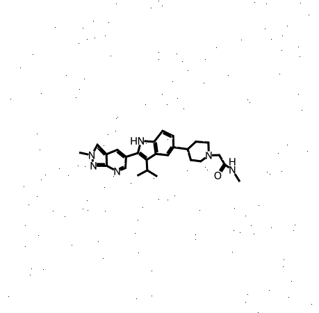 CNC(=O)CN1CCC(c2ccc3[nH]c(-c4cnc5nn(C)cc5c4)c(C(C)C)c3c2)CC1